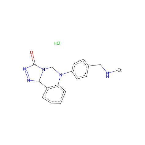 CCNCc1ccc(N2CN3C(=O)N=NC3c3ccccc32)cc1.Cl